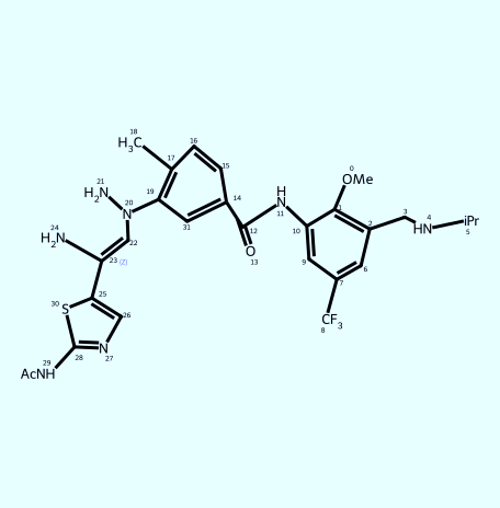 COc1c(CNC(C)C)cc(C(F)(F)F)cc1NC(=O)c1ccc(C)c(N(N)/C=C(\N)c2cnc(NC(C)=O)s2)c1